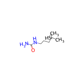 C[SiH](C)CCCNC(N)=O